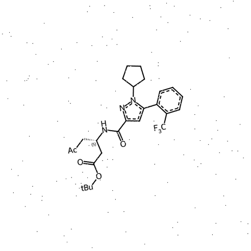 CC(=O)C[C@@H](CC(=O)OC(C)(C)C)NC(=O)c1cc(-c2ccccc2C(F)(F)F)n(C2CCCC2)n1